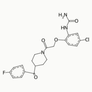 NC(=O)Nc1cc(Cl)ccc1OCC(=O)N1CCC(C(=O)c2ccc(F)cc2)CC1